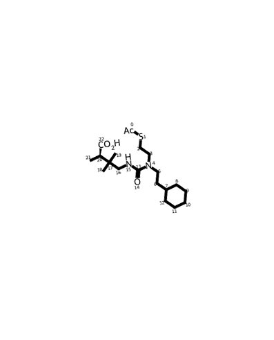 CC(=O)SCCN(CCC1CCCCC1)C(=O)NCC(C)(C)[C@@H](C)C(=O)O